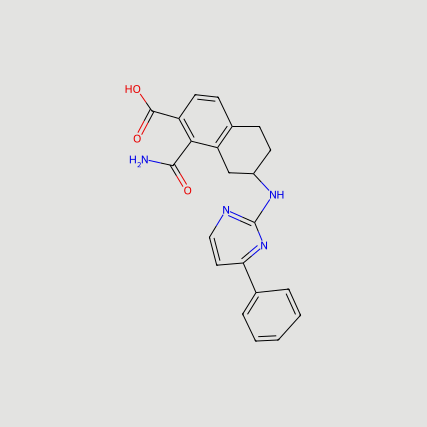 NC(=O)c1c(C(=O)O)ccc2c1CC(Nc1nccc(-c3ccccc3)n1)CC2